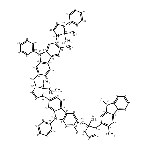 Cc1cc2c3ccccc3n(C)c2cc1N1C=CN(Cc2ccc3c4cc(C)c(N5C=CN(Cc6ccc7c8cc(C)c(N9C=CN(c%10ccccc%10)C9(C)C)cc8n(-c8ccccc8)c7c6)C5(C)C)cc4n(-c4ccccc4)c3c2)C1(C)C